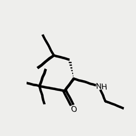 CCN[C@@H](CC(C)C)C(=O)C(C)(C)C